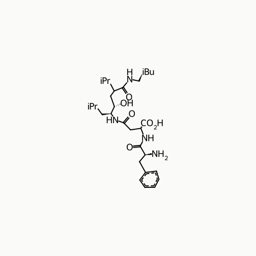 CC[C@H](C)CNC(=O)C(C[C@H](O)[C@H](CC(C)C)NC(=O)C[C@H](NC(=O)[C@@H](N)Cc1ccccc1)C(=O)O)C(C)C